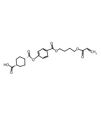 C=CC(=O)OCCCCOC(=O)c1ccc(OC(=O)[C@H]2CC[C@H](C(=O)O)CC2)cc1